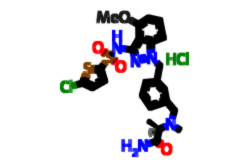 COc1cccc2c1c(NS(=O)(=O)c1ccc(Cl)s1)nn2Cc1cccc(CN(C)[C@H](C)C(N)=O)c1.Cl